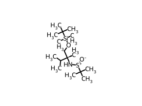 CC(C)[C@](C)(CO[Si](C)(C)C(C)(C)C)N[S@@+]([O-])C(C)(C)C